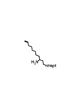 C=CCCCCCCC(N)CCCCCCCCC